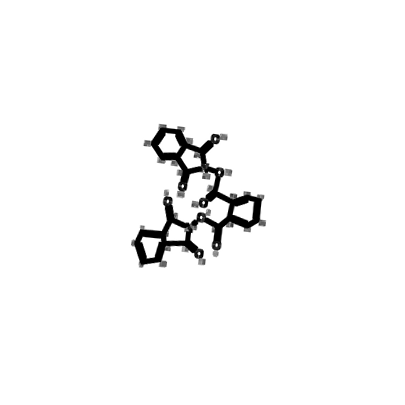 O=C(ON1C(=O)c2ccccc2C1=O)c1ccccc1C(=O)ON1C(=O)c2ccccc2C1=O